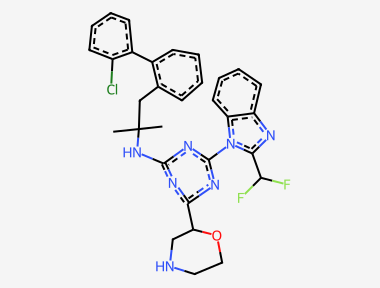 CC(C)(Cc1ccccc1-c1ccccc1Cl)Nc1nc(C2CNCCO2)nc(-n2c(C(F)F)nc3ccccc32)n1